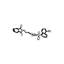 O=C1c2ccccc2C(=O)N1CCCCCNS(=O)(=O)c1cccc2c(Br)cccc12